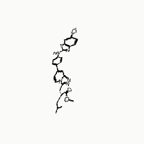 COC(=O)[C@@H](Cc1nnc2cc(-c3ccc(Nc4nc5ccc(Cl)cc5s4)cc3)ccn12)CC(C)C